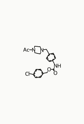 CC(=O)N1CCN(Cc2ccc(NC(=O)OCc3ccc(Cl)cc3)cc2)CC1